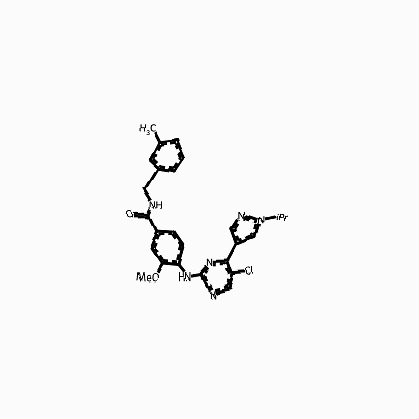 COc1cc(C(=O)NCc2cccc(C)c2)ccc1Nc1ncc(Cl)c(-c2cnn(C(C)C)c2)n1